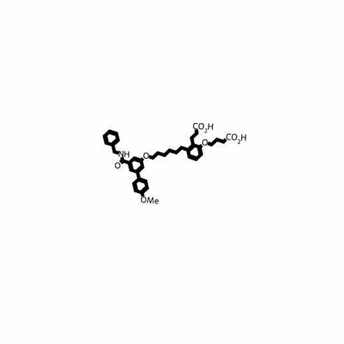 COc1ccc(-c2cc(OCCCCCCc3cccc(OCCCC(=O)O)c3CCC(=O)O)cc(C(=O)NCc3ccccc3)c2)cc1